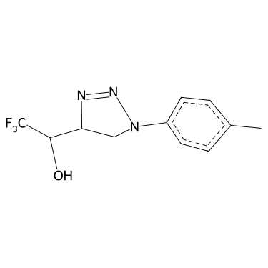 Cc1ccc(N2CC(C(O)C(F)(F)F)N=N2)cc1